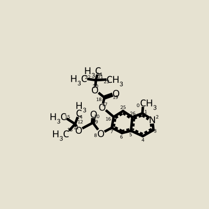 Cc1nccc2cc(OC(=O)OC(C)(C)C)c(OC(=O)OC(C)(C)C)cc12